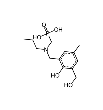 CCCN(Cc1cc(C)cc(CO)c1O)CP(=O)(O)O